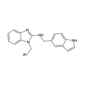 CC(C)Cn1c(NCc2ccc3[nH]ccc3c2)nc2ccccc21